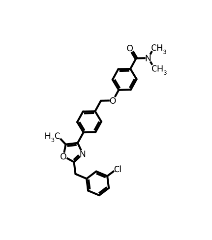 Cc1oc(Cc2cccc(Cl)c2)nc1-c1ccc(COc2ccc(C(=O)N(C)C)cc2)cc1